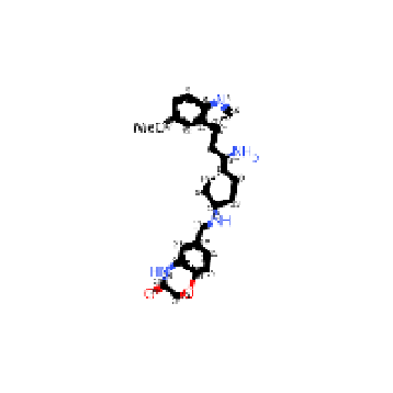 COc1ccc2nccc(C[C@@H](N)[C@H]3CC[C@H](NCc4ccc5c(c4)NC(=O)CO5)CC3)c2c1